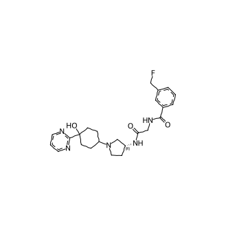 O=C(CNC(=O)c1cccc(CF)c1)N[C@@H]1CCN(C2CCC(O)(c3ncccn3)CC2)C1